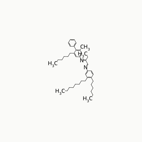 CCCCCCCCc1cc(N=CC(CC)=Nc2cc(C)c(-c3ccccc3)c(CCCCCC)c2)ccc1CCCCCC